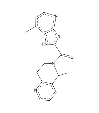 Cc1ccnc2nc(C(=O)N3CCc4ncccc4C3C)[nH]c12